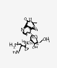 CCCC(N)C(=O)N[C@H]1C(O)[C@@H](CO)O[C@H]1n1cnc2c(=O)[nH]c(C)nc21